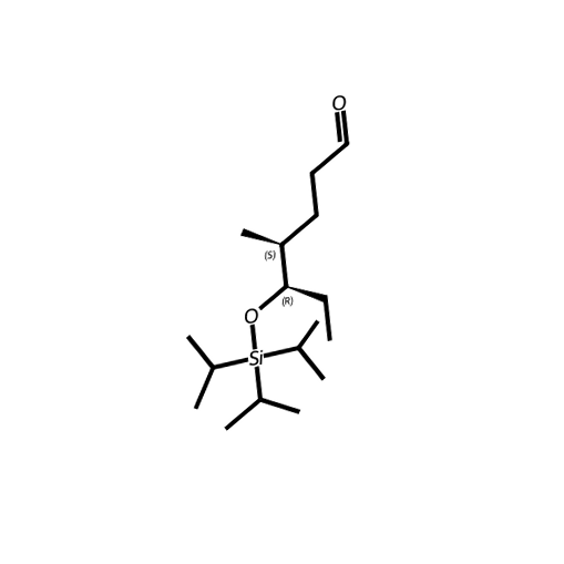 CC[C@@H](O[Si](C(C)C)(C(C)C)C(C)C)[C@@H](C)CCC=O